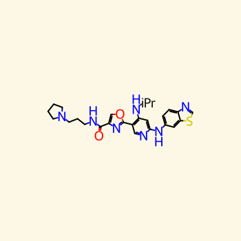 CC(C)Nc1cc(Nc2ccc3ncsc3c2)ncc1-c1nc(C(=O)NCCCN2CCCC2)co1